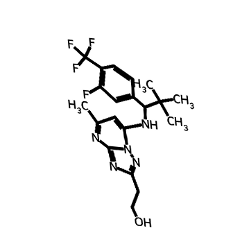 Cc1cc(NC(c2ccc(C(F)(F)F)c(F)c2)C(C)(C)C)n2nc(CCO)nc2n1